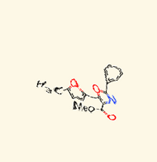 COC(=O)c1nc(-c2ccccc2)oc1-c1ccc(C)o1